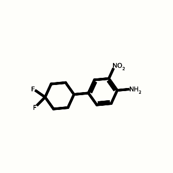 Nc1ccc(C2CCC(F)(F)CC2)cc1[N+](=O)[O-]